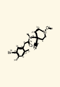 CON1CCC(C#N)(N(C)C(=O)Cc2cc(Br)c(F)cc2C)CC1